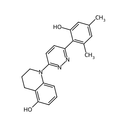 Cc1cc(C)c(-c2ccc(N3CCCc4c(O)cccc43)nn2)c(O)c1